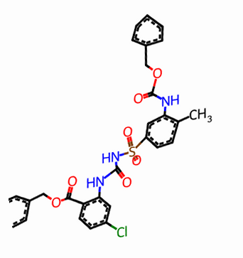 Cc1ccc(S(=O)(=O)NC(=O)Nc2cc(Cl)ccc2C(=O)OCc2ccccc2)cc1NC(=O)OCc1ccccc1